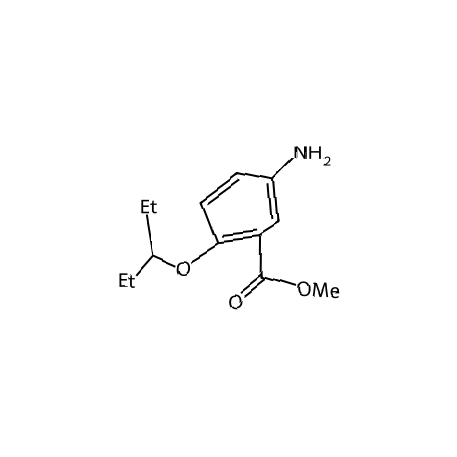 CCC(CC)Oc1ccc(N)cc1C(=O)OC